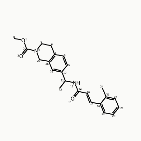 COC(=O)N1CCc2ccc(C(C)NC(=O)C=Cc3ccccc3C)cc2C1